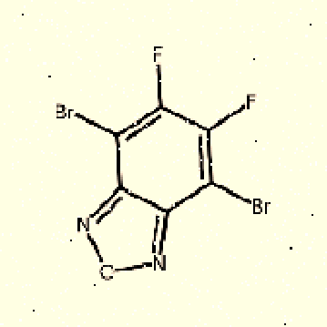 Fc1c(F)c(Br)c2nonc2c1Br